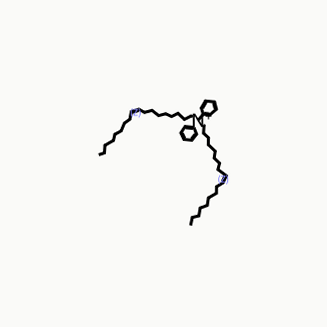 CCCCCCCC/C=C\CCCCCCCC[N+](CCCCCCCC/C=C\CCCCCCCC)(c1ccccc1)c1ccccc1